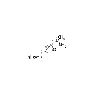 CCCCCCCCCOC(=O)/C=C(/C)N